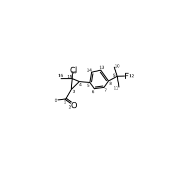 CC(=O)C1C(c2ccc(C(C)(C)F)cc2)C1(C)Cl